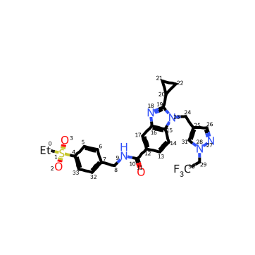 CCS(=O)(=O)c1ccc(CNC(=O)c2ccc3c(c2)nc(C2CC2)n3Cc2cnn(CC(F)(F)F)c2)cc1